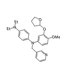 CCN(CC)c1ccc(N(Cc2cccnc2)c2ccc(OC)c(OC3CCCO3)c2)cc1